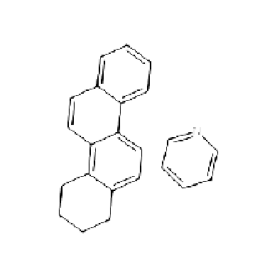 c1ccc2c(c1)ccc1c3c(ccc12)CCCC3.c1ccncc1